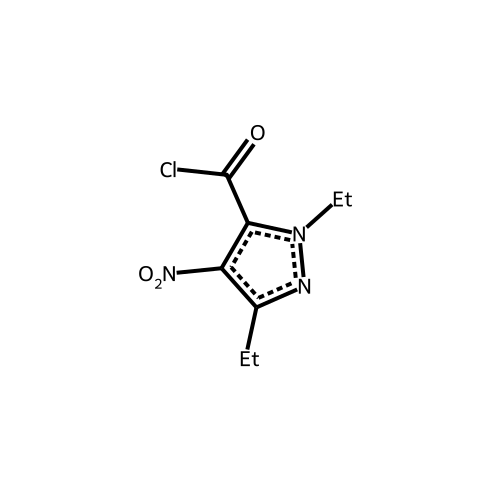 CCc1nn(CC)c(C(=O)Cl)c1[N+](=O)[O-]